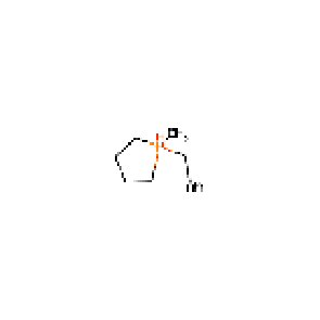 CCCC[PH]1(C)CCCC1